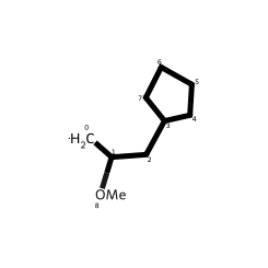 [CH2]C(CC1CCCC1)OC